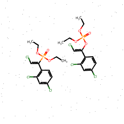 CCOP(=O)(OCC)/C(=C\Cl)c1ccc(Cl)cc1Cl.CCOP(=O)(OCC)O/C(=C\Cl)c1ccc(Cl)cc1Cl